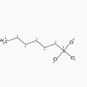 [CH2]CCCCC[Si](Cl)(Cl)Cl